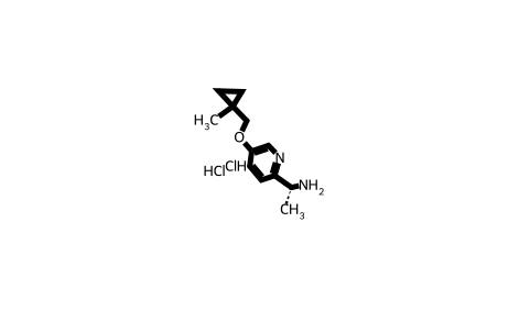 C[C@@H](N)c1ccc(OCC2(C)CC2)cn1.Cl.Cl